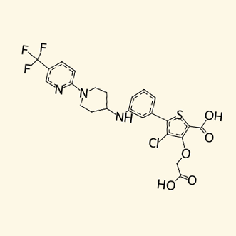 O=C(O)COc1c(C(=O)O)sc(-c2cccc(NC3CCN(c4ccc(C(F)(F)F)cn4)CC3)c2)c1Cl